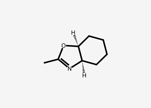 CC1=N[C@@H]2CCCC[C@@H]2O1